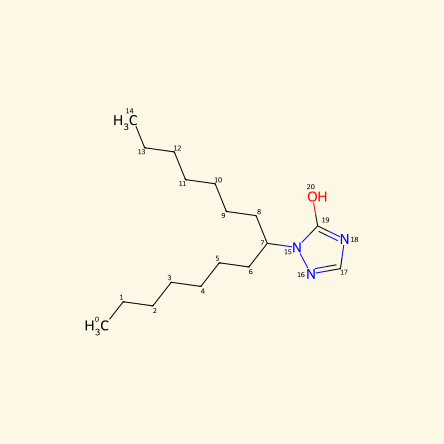 CCCCCCCC(CCCCCCC)n1ncnc1O